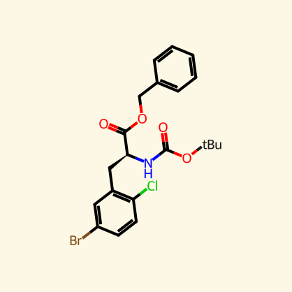 CC(C)(C)OC(=O)N[C@@H](Cc1cc(Br)ccc1Cl)C(=O)OCc1ccccc1